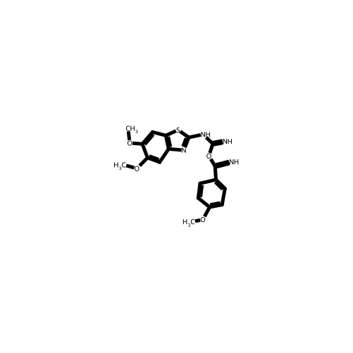 COc1ccc(C(=N)OC(=N)Nc2nc3cc(OC)c(OC)cc3s2)cc1